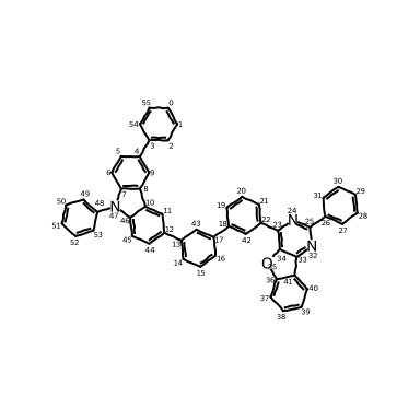 c1ccc(-c2ccc3c(c2)c2cc(-c4cccc(-c5cccc(-c6nc(-c7ccccc7)nc7c6oc6ccccc67)c5)c4)ccc2n3-c2ccccc2)cc1